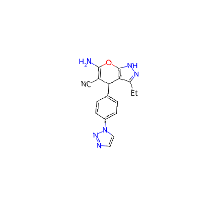 CCc1n[nH]c2c1C(c1ccc(-n3ccnn3)cc1)C(C#N)=C(N)O2